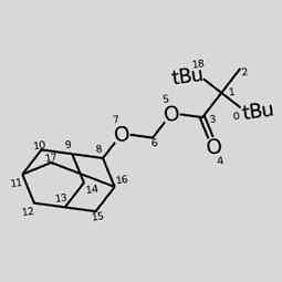 CC(C)(C)C(C)(C(=O)OCOC1C2CC3CC(C2)CC1C3)C(C)(C)C